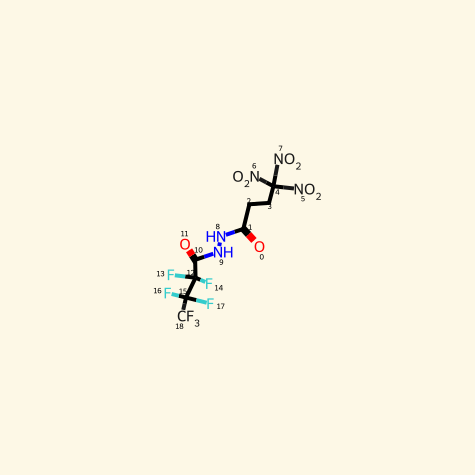 O=C(CCC([N+](=O)[O-])([N+](=O)[O-])[N+](=O)[O-])NNC(=O)C(F)(F)C(F)(F)C(F)(F)F